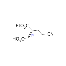 CCOC(=O)/C(=C\C(=O)O)CCC#N